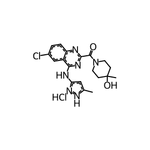 Cc1cc(Nc2nc(C(=O)N3CCC(C)(O)CC3)nc3ccc(Cl)cc23)n[nH]1.Cl